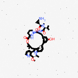 CCn1c(-c2cccnc2[C@H](C)OC)c2c3cc(ccc31)-c1cc(O)cc(c1)C[C@H](NC(=O)[C@H](C(C)C)N(C)C(=O)[C@H]1C[C@H]1N)C(=O)N1CCC[C@H](N1)C(=O)OCC(C)(C)C2